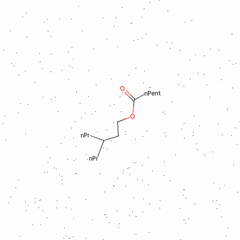 CCCCCC(=O)OCCC(CCC)CCC